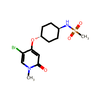 Cn1cc(Br)c(O[C@H]2CC[C@H](NS(C)(=O)=O)CC2)cc1=O